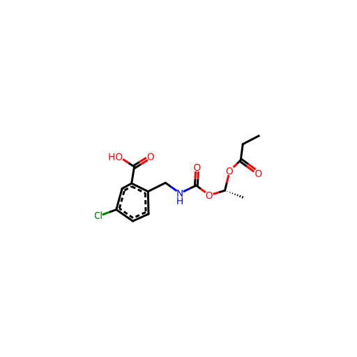 CCC(=O)O[C@H](C)OC(=O)NCc1ccc(Cl)cc1C(=O)O